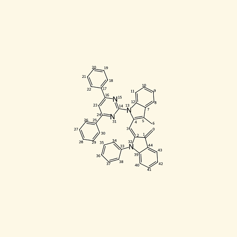 C=c1/c(=C\c2c(C)c3ccccc3n2-c2nc(-c3ccccc3)cc(-c3ccccc3)n2)n(-c2ccccc2)c2ccccc12